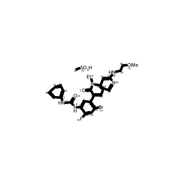 CCn1c(=O)c(-c2cc(NC(=O)Nc3ccccc3)c(F)cc2Br)cc2cnc(NCCOC)cc21.CS(=O)(=O)O